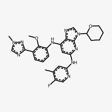 COc1c(Nc2cc(Nc3cc(C)c(F)cn3)nc3c2ncn3C2CCCCO2)cccc1-c1ncn(C)n1